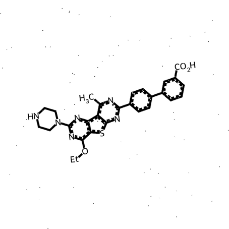 CCOc1nc(N2CCNCC2)nc2c1sc1nc(-c3ccc(-c4cccc(C(=O)O)c4)cc3)nc(C)c12